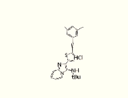 Cc1cc(C)cc(C#Cc2ccc(-c3nc4ccccn4c3NC(C)(C)C)s2)c1.Cl